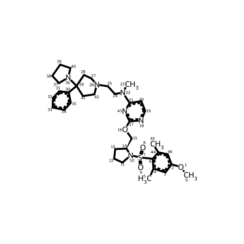 COc1cc(C)c(S(=O)(=O)N2CCC[C@H]2COc2nccc(N(C)CCN3CCC(c4ccccc4)(N4CCCC4)CC3)n2)c(C)c1